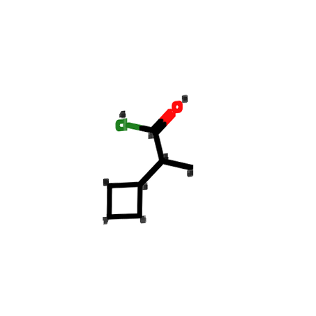 CC(C(=O)Cl)C1CCC1